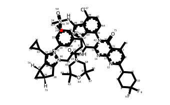 Cc1cc(C2CCC(F)(F)CC2)nc2nc([C@H](Cc3cc(F)cc(F)c3)NC(=O)Cn3nc(C4CC4)c4c3C[C@@H]3C[C@H]43)n(-c3ccc(Cl)c4c(NS(C)(=O)=O)nn(CCN5CC(C)(C)OC(C)(C)C5)c34)c(=O)c12